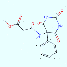 COC(=O)CC(=O)NC1(c2ccccc2)C(=O)NC(=O)NC1=O